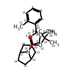 COCC1(OCc2ccccc2C)CC2CCC(C1)N2C(=O)OC(C)(C)C